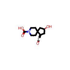 O=C=C1C[C@H](O)CC12CCN(C(=O)O)CC2